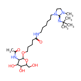 CC(=O)NC1C(OCCCCC(=O)NCCCCCCN2CCN(C)C2=NC(C)(C)C)OC(CO)C(O)C1O